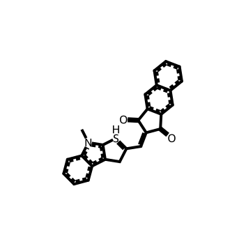 Cn1c2c(c3ccccc31)CC(C=C1C(=O)c3cc4ccccc4cc3C1=O)=[SH]2